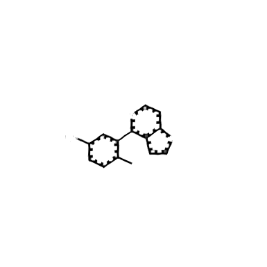 Cc1ccc(N)cc1-c1nccc2sccc12